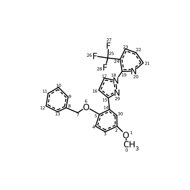 COc1ccc(OCc2ccccc2)c(-c2ccn(-c3ncccc3C(F)(F)F)n2)c1